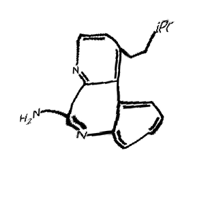 CC(C)Cc1ccnc2c(N)nc3ccccc3c12